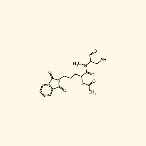 CC(=O)S[C@@H](CCCN1C(=O)c2ccccc2C1=O)C(=O)N(C)C([C]=O)CS